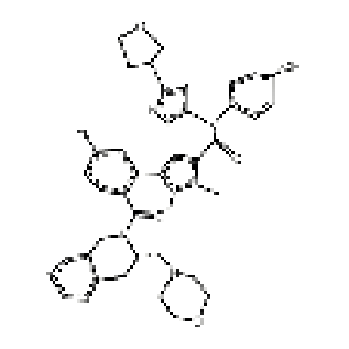 Cc1c(C(=O)N(c2ccc(O)cc2)c2cnn(C3CCOC3)c2)cc(-c2cc(Cl)ccc2C(=O)N2Cc3ccccc3C[C@H]2CN2CCOCC2)n1C